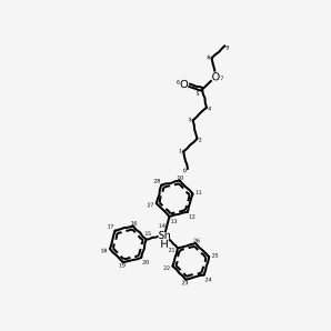 CCCCCC(=O)OCC.c1cc[c]([SnH]([c]2ccccc2)[c]2ccccc2)cc1